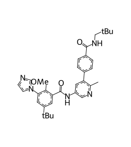 COc1c(C(=O)Nc2cnc(C)c(-c3ccc(C(=O)NCC(C)(C)C)cc3)c2)cc(C(C)(C)C)cc1-n1ccnc1